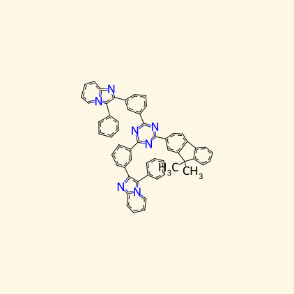 CC1(C)c2ccccc2-c2ccc(-c3nc(-c4cccc(-c5nc6ccccn6c5-c5ccccc5)c4)nc(-c4cccc(-c5nc6ccccn6c5-c5ccccc5)c4)n3)cc21